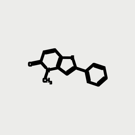 Cn1c(=O)ccc2sc(-c3ccccc3)cc21